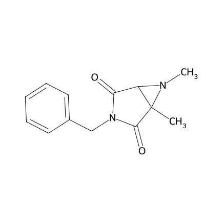 CN1C2C(=O)N(Cc3ccccc3)C(=O)C21C